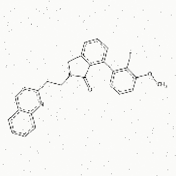 COc1cccc(-c2cccc3c2C(=O)N(CCc2ccc4ccccc4n2)C3)c1F